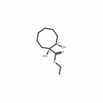 CCOC(=O)[C@]1(O)CCCCCC[C@H]1O